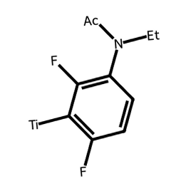 CCN(C(C)=O)c1ccc(F)[c]([Ti])c1F